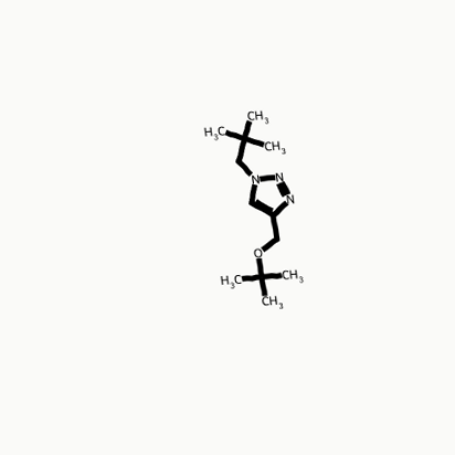 CC(C)(C)Cn1cc(COC(C)(C)C)nn1